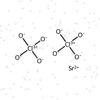 [O-][Cl+3]([O-])([O-])[O-].[O-][Cl+3]([O-])([O-])[O-].[Sr+2]